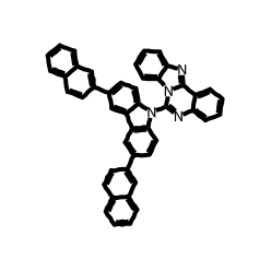 c1ccc2cc(-c3ccc4c(c3)c3cc(-c5ccc6ccccc6c5)ccc3n4-c3nc4ccccc4c4nc5ccccc5n34)ccc2c1